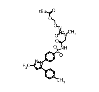 Cc1ccc(-c2cc(C(F)(F)F)nn2-c2ccc(S(=O)(=O)NC(=O)CN(C)/[N+]([O-])=N/OCOC(=O)C(C)(C)C)cc2)cc1